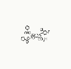 O=C(O)C1=CC2(CCC1SCc1ccc(F)cc1Cl)O[C@@H](COC(=O)c1ccccc1)[C@H](COC(=O)c1ccccc1)O2